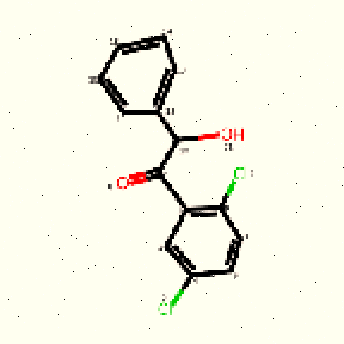 O=C(c1cc(Cl)ccc1Cl)C(O)c1ccccc1